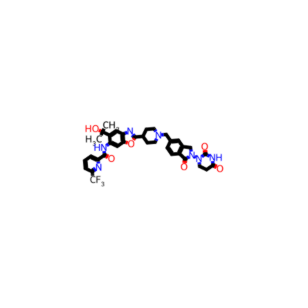 CC(C)(O)c1cc2nc(C3CCN(Cc4ccc5c(c4)CN(N4CCC(=O)NC4=O)C5=O)CC3)oc2cc1NC(=O)c1cccc(C(F)(F)F)n1